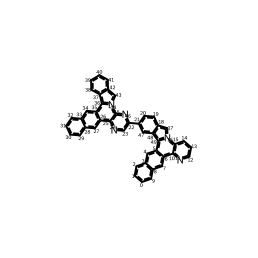 c1ccc2cc3c(cc2c1)c1ncccc1n1cc2ccc(-c4cnc5c6cc7ccccc7cc6c6c7ccccc7cn6c5n4)cc2c31